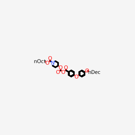 CCCCCCCCCCOc1ccc(Oc2ccc(C(=O)OC(=O)OC3CCN(C(=O)OCCCCCCCC)CC3)cc2)cc1